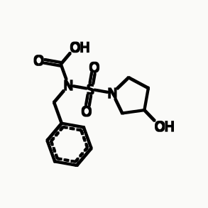 O=C(O)N(Cc1ccccc1)S(=O)(=O)N1CCC(O)C1